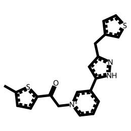 Cc1ccc(C(=O)C[n+]2cccc(-c3cc(Cc4ccsc4)n[nH]3)c2)s1